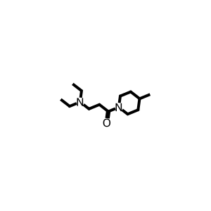 CCN(CC)CCC(=O)N1CCC(C)CC1